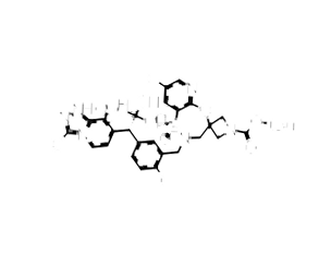 Cc1cnc2c(c1)S(=O)(=O)N(Cc1cc([C@@H](c3ccn4c(C(F)(F)F)nnc4c3C)C(C)(C)C(=O)O)ccc1C)CC1(CN(C(=O)OC(C)(C)C)C1)O2